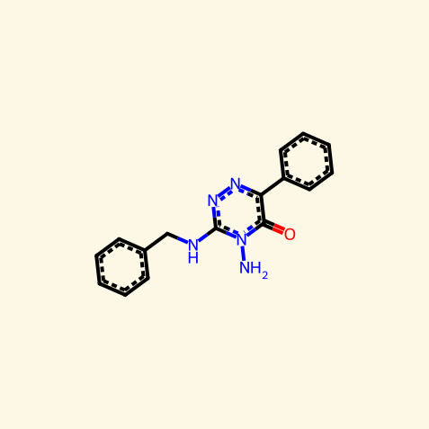 Nn1c(NCc2ccccc2)nnc(-c2ccccc2)c1=O